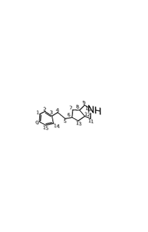 c1ccc(CCC2CC3CNCC3C2)cc1